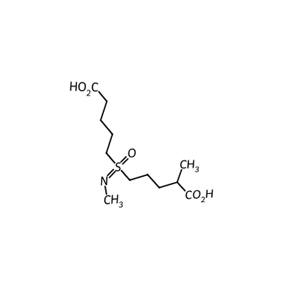 CN=S(=O)(CCCCC(=O)O)CCCC(C)C(=O)O